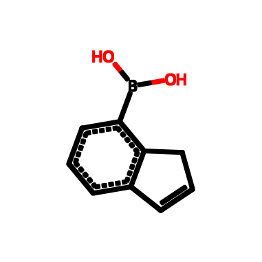 OB(O)c1cccc2c1CC=C2